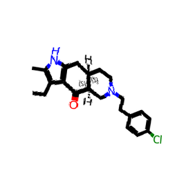 CCc1c(C)[nH]c2c1C(=O)[C@@H]1CN(CCc3ccc(Cl)cc3)CC[C@H]1C2